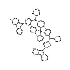 Cc1ccc2c(c1)c1ccccc1n2-c1ccc(N(c2ccccc2)c2ccc3c(c2)C2(c4ccccc4-c4ccccc42)c2cc(N(c4ccccc4)c4ccc(-n5c6ccccc6c6ccccc65)cc4)ccc2-3)cc1